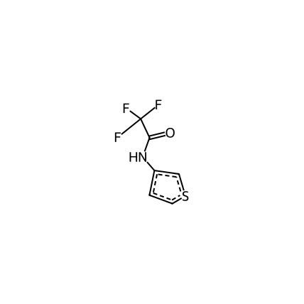 O=C(Nc1ccsc1)C(F)(F)F